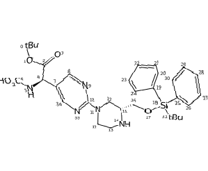 CC(C)(C)OC(=O)[C@H](NC(=O)O)c1cnc(N2CCN[C@@H](CO[Si](c3ccccc3)(c3ccccc3)C(C)(C)C)C2)nc1